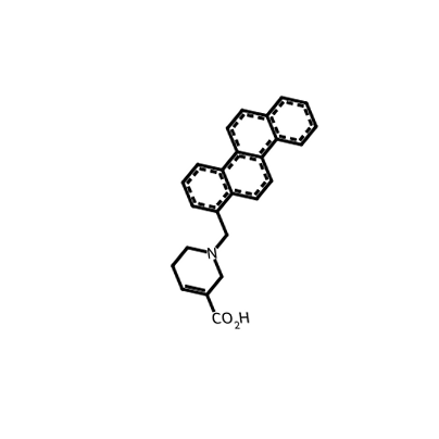 O=C(O)C1=CCCN(Cc2cccc3c2ccc2c4ccccc4ccc32)C1